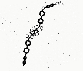 CC1C2C1C21C2C(Oc3ccc(-c4ccc(C(=O)OC5CO[C@H]6[C@@H](OC(=O)c7ccc(C8CCC(C9C%10C9C%109C%10CC%109)CC8)cc7)CO[C@@H]56)cc4)cc3)C21